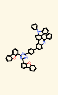 c1ccc(-c2nc3ccc(-c4ccc(-c5nc(-c6cccc7c6oc6ccccc67)nc(-c6cccc7c6oc6ccccc67)n5)cc4)cc3c3ccc4c(c5ccccc5n4-c4ccccc4)c23)cc1